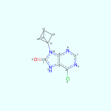 O=c1[nH]c2c(Cl)ncnc2n1C12CC(C1)C2